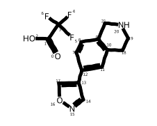 O=C(O)C(F)(F)F.c1cc2c(cc1-c1cnoc1)CCNC2